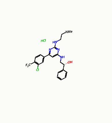 CNCCNc1nc(NC[C@H](O)c2ccccc2)cc(-c2ccc(C(F)(F)F)c(Cl)c2)n1.Cl